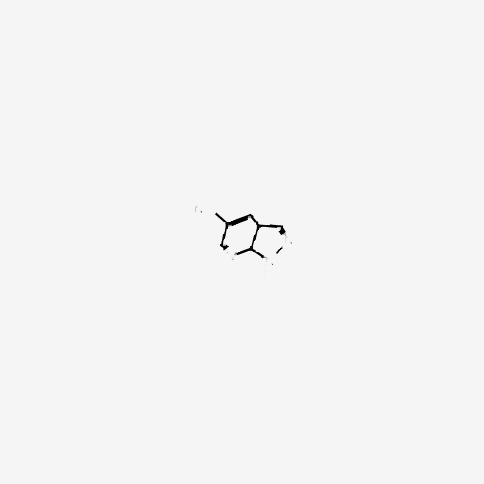 N#CC1=CC2C=NNC2N=C1